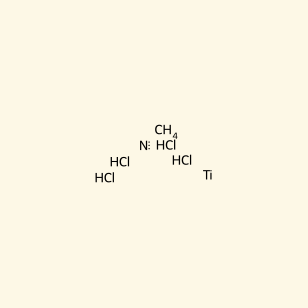 C.Cl.Cl.Cl.Cl.[N].[Ti]